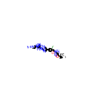 N=C/C(=C\NC1CCNC1)Nc1ncc(-c2ccc(CC(=O)Nc3cc(C4(C(F)(F)F)CC4)on3)c(F)c2)cn1